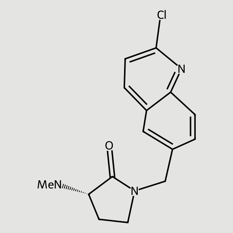 CN[C@H]1CCN(Cc2ccc3nc(Cl)ccc3c2)C1=O